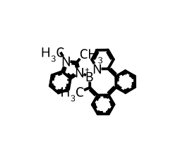 C\C1=c2/cccc/c2=c2\cccc\c2=C2/C=CC=CN2B1[n+]1c(C)n(C)c2ccccc21